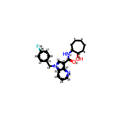 O=C(NC1CCCCCC1O)c1cn(Cc2ccc(F)cc2)c2cccnc12